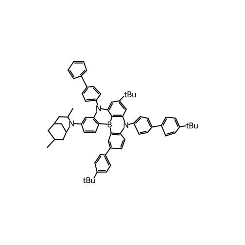 CC1CC2CC(C)N(c3ccc4c(c3)N(c3ccc(-c5ccccc5)cc3)c3cc(C(C)(C)C)cc5c3B4c3cc(-c4ccc(C(C)(C)C)cc4)ccc3N5c3ccc(-c4ccc(C(C)(C)C)cc4)cc3)C(C1)C2